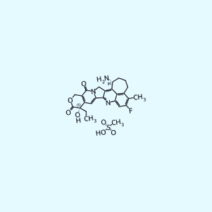 CC[C@@]1(O)C(=O)OCc2c1cc1n(c2=O)Cc2c-1nc1cc(F)c(C)c3c1c2[C@H](N)CCC3.CS(=O)(=O)O